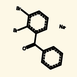 O=C(c1ccccc1)c1cccc(Br)c1Br.[Na]